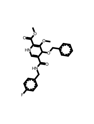 COC(=O)C1=C(OC)C(OCc2ccccc2)C(C(=O)NCc2ccc(F)cc2)=CN1